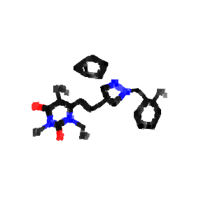 CCn1c(=O)c([N+](=O)[O-])c(C=Cc2cnn(Cc3ccccc3C(F)(F)F)c2)n(CC(C)C)c1=O.c1cc2cc-2c1